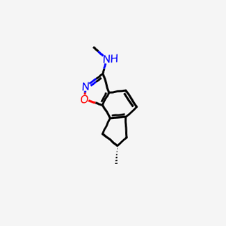 CNc1noc2c3c(ccc12)C[C@H](C)C3